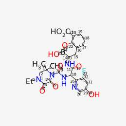 CCN1CC(C)(C)N(C(=O)NC(C(=O)N[C@H]2Cc3cccc(C(=O)O)c3OB2O)c2ncc(O)cc2F)C(=O)C1=O